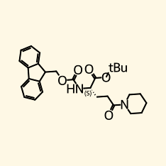 CC(C)(C)OC(=O)[C@H](CCC(=O)N1CCCCC1)NC(=O)OCC1c2ccccc2-c2ccccc21